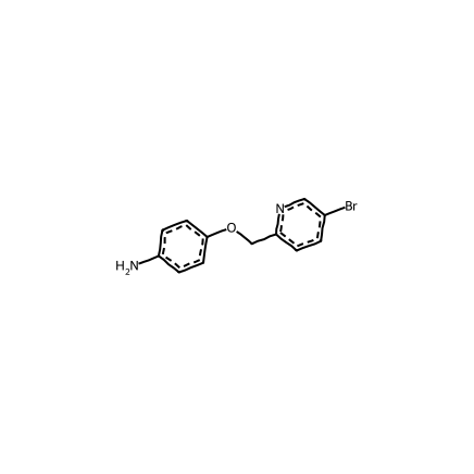 Nc1ccc(OCc2ccc(Br)cn2)cc1